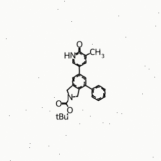 Cc1cc(-c2cc3c(c(-c4ccccc4)c2)CN(C(=O)OC(C)(C)C)C3)c[nH]c1=O